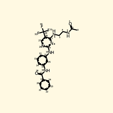 CC(=O)NCCNc1nc(Nc2cccc(NC(=O)c3ccccc3)c2)ncc1C(F)(F)F